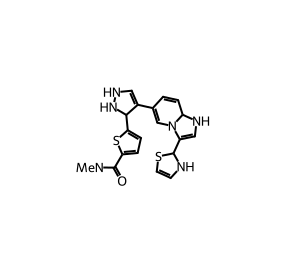 CNC(=O)c1ccc(C2NNC=C2C2=CN3C(C4NC=CS4)=CNC3C=C2)s1